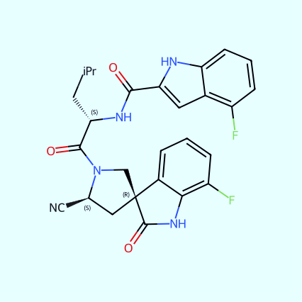 CC(C)C[C@H](NC(=O)c1cc2c(F)cccc2[nH]1)C(=O)N1C[C@]2(C[C@H]1C#N)C(=O)Nc1c(F)cccc12